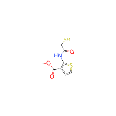 COC(=O)c1ccsc1NC(=O)CS